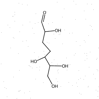 O=CC(O)CCC(O)C(O)CO